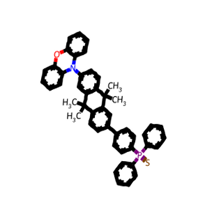 CC1(C)c2ccc(N3c4ccccc4Oc4ccccc43)cc2C(C)(C)c2ccc(-c3ccc(P(=S)(c4ccccc4)c4ccccc4)cc3)cc21